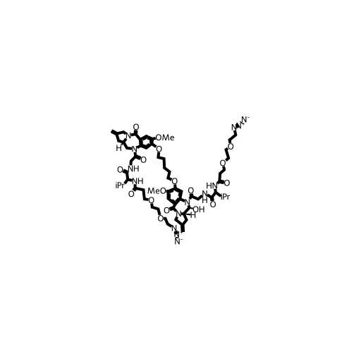 C=C1C[C@H]2CN(C(=O)CNC(=O)C(NC(=O)CCOCCOCCN=[N+]=[N-])C(C)C)c3cc(OCCCCCOc4cc5c(cc4OC)C(=O)N4CC(=C)C[C@H]4[C@H](O)N5C(=O)CNC(=O)C(NC(=O)CCOCCOCCN=[N+]=[N-])C(C)C)c(OC)cc3C(=O)N2C1